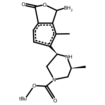 BC1OC(=O)c2ccc([C@@H]3CN(C(=O)OC(C)(C)C)C[C@H](C)N3)c(C)c21